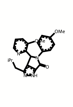 COc1ccc(N2C(=O)c3[nH]nc(CC(C)C)c3C2c2ncccc2OC)cc1